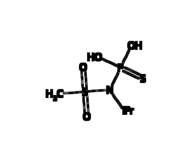 CC(C)N(P(O)(O)=S)S(C)(=O)=O